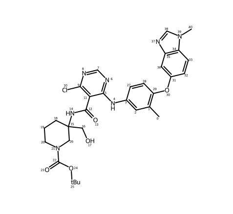 Cc1cc(Nc2ncnc(Cl)c2C(=O)NC2(CO)CCCN(C(=O)OC(C)(C)C)C2)ccc1Oc1ccc2c(c1)ncn2C